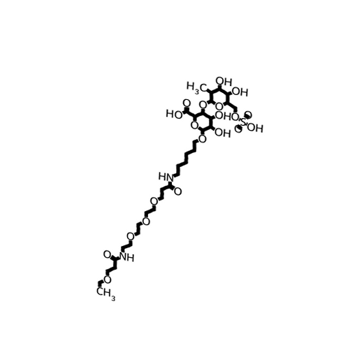 CCOCCC(=O)NCCOCCOCCOCCC(=O)NCCCCCCOC1OC(C(=O)O)C(OC2OC(COS(=O)(=O)O)C(O)C(O)C2C)C(O)C1O